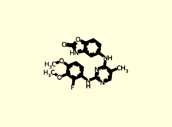 COc1ccc(Nc2ncc(C)c(Nc3ccc4oc(=O)[nH]c4c3)n2)c(F)c1OC